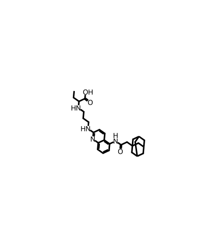 CCC(NCCCNc1ccc2c(NC(=O)CC34CC5CC(CC(C5)C3)C4)cccc2n1)C(=O)O